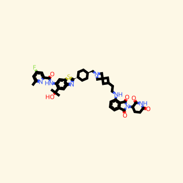 Cc1cc(F)cc(C(=O)Nc2cc3sc([C@H]4CC[C@H](CN5CC6(CC(CCNc7cccc8c7C(=O)N(C7CCC(=O)NC7=O)C8=O)C6)C5)CC4)nc3cc2C(C)(C)O)n1